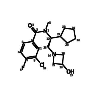 CN(C(=O)c1ccc(F)c(Cl)c1)[C@H](CN1CC(O)C1)C1CCCC1